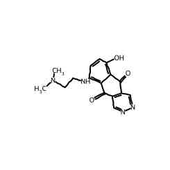 CN(C)CCNc1ccc(O)c2c1C(=O)c1cnncc1C2=O